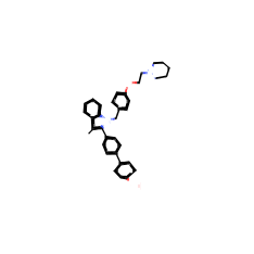 Cc1c(-c2ccc(-c3ccc(O)cc3)cc2)n(Cc2ccc(OCCN3CCCCC3)cc2)c2ccccc12